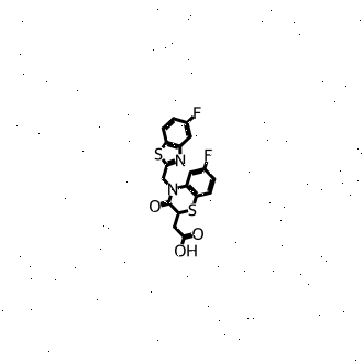 O=C(O)CC1Sc2ccc(F)cc2N(Cc2nc3cc(F)ccc3s2)C1=O